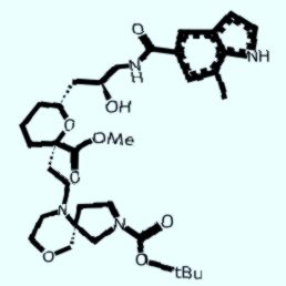 COC(=O)[C@@]1(CCN2CCOC[C@@]23CCN(C(=O)OC(C)(C)C)C3)CCC[C@H](C[C@H](O)CNC(=O)c2cc(C)c3[nH]ccc3c2)O1